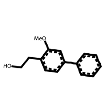 COc1cc(-c2ccccc2)ccc1CCO